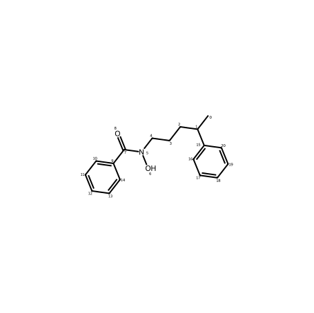 CC(CCCN(O)C(=O)c1ccccc1)c1ccccc1